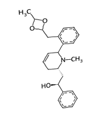 CC1OC(Cc2ccccc2C2C=CC[C@@H](C[C@H](O)c3ccccc3)N2C)O1